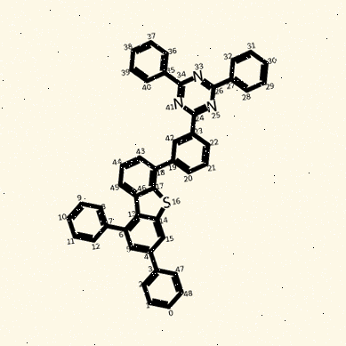 c1ccc(-c2cc(-c3ccccc3)c3c(c2)sc2c(-c4cccc(-c5nc(-c6ccccc6)nc(-c6ccccc6)n5)c4)cccc23)cc1